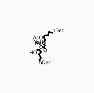 CCCCCCCCCCCCCCC(COCC(=O)OC(CO)CCCCCCCCCCCCCC)OC(C)=O.[NaH].[NaH]